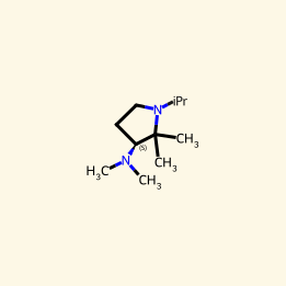 CC(C)N1CC[C@H](N(C)C)C1(C)C